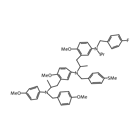 COc1ccc(CN(c2ccc(OC)cc2)C(C)Cc2cc(N(Cc3ccc(SC)cc3)C(C)Cc3cc(N(Cc4ccc(F)cc4)C(C)C)ccc3OC)ccc2OC)cc1